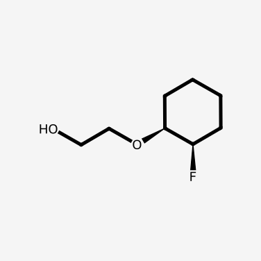 OCCO[C@H]1CCCC[C@H]1F